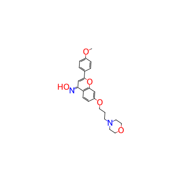 COc1ccc(-c2cc(=NO)c3ccc(OCCCN4CCOCC4)cc3o2)cc1